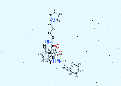 O=C(NCCCCN1CCCC1)[C@H]1[C@H](C(=O)NCCc2ccccc2)[C@@H]2C=C[C@H]1C21CC1